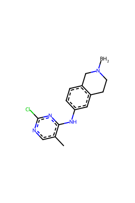 BN1CCc2cc(Nc3nc(Cl)ncc3C)ccc2C1